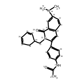 CC(=O)Nc1ccc(-c2cc3ccc(N(C)C)cc3c(=O)n2CC2C=CC=CC2)cc1